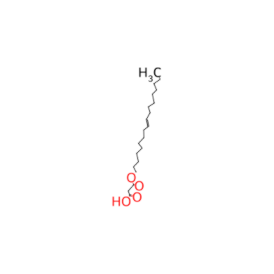 CCCCCCCCC=CCCCCCCCCOC(=O)CC(=O)O